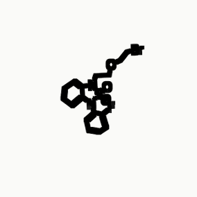 O=S1(=O)N(CCOCCBr)c2ccccc2N1c1ccccc1F